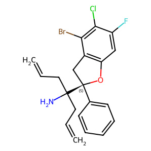 C=CCC(N)(CC=C)[C@@]1(c2ccccc2)Cc2c(cc(F)c(Cl)c2Br)O1